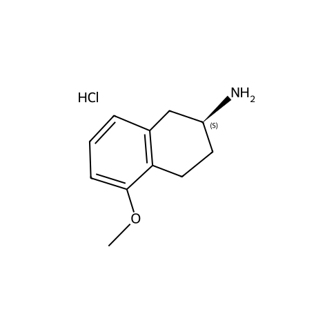 COc1cccc2c1CC[C@H](N)C2.Cl